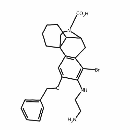 NCCNc1c(OCc2ccccc2)cc2c(c1Br)CC1C3CCCCC23CCN1C(=O)O